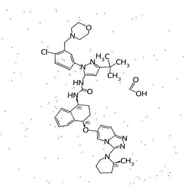 C[C@H]1CCCCN1c1nnc2ccc(O[C@@H]3CC[C@H](NC(=O)Nc4cc(C(C)(C)C)nn4-c4ccc(Cl)c(CN5CCOCC5)c4)c4ccccc43)cn12.O=CO